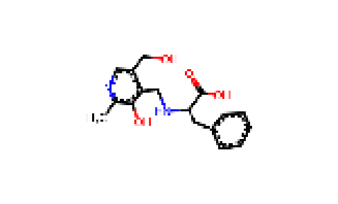 Cc1ncc(CO)c(CN[C@H](Cc2ccccc2)C(=O)O)c1O